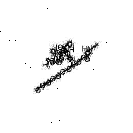 CC(C)c1nc(CN(C)C(=O)N[C@H](C(=O)N[C@@H](Cc2ccccc2)C[C@H](O)[C@H](Cc2ccccc2)NC(=O)OCc2cncs2)C(C)C)cs1.CCCCNc1ccc(C(=O)OCCOCCOCCOCCOCCOCCOCCOCCOCCOC)cc1